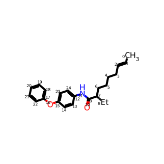 C/C=C/CCCCC(CC)C(=O)Nc1ccc(Oc2ccccc2)cc1